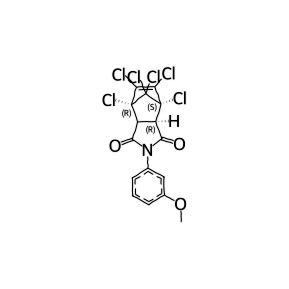 COc1cccc(N2C(=O)C3[C@H](C2=O)[C@]2(Cl)C(Cl)=C(Cl)[C@@]3(Cl)C2(Cl)Cl)c1